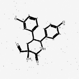 CC1(C=O)CC(c2cccc(Cl)c2)C(c2ccc(Cl)cc2)NC1=O